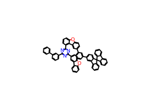 c1ccc(-c2cccc(-c3nc(-c4ccc5oc6ccccc6c5c4)nc(-c4cccc5oc6ccc(-c7cccc(-c8ccc9c(c8)-c8ccccc8C98c9ccccc9-c9ccccc98)c7)cc6c45)n3)c2)cc1